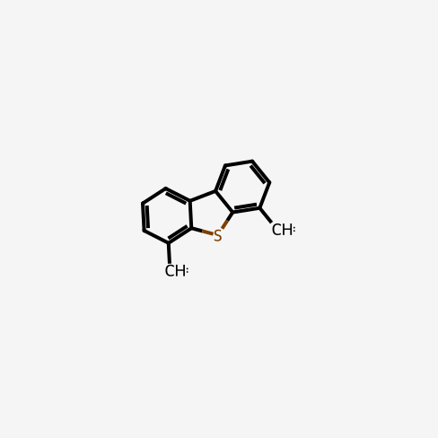 [CH]c1cccc2c1sc1c([CH])cccc12